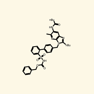 CCCCC(=O)Nc1cc2nc(CCCC)n(Cc3ccc(-c4ccccc4S(=O)(=O)NC(=O)OCc4ccccc4)cc3)c2nc1C